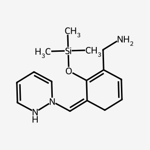 C[Si](C)(C)OC1=C(CN)C=CCC1=CN1C=CC=CN1